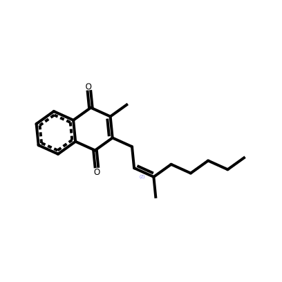 CCCCC/C(C)=C\CC1=C(C)C(=O)c2ccccc2C1=O